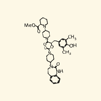 COC(=O)[C@H]1CCCCN1C1CCN(C(=O)[C@@H](Cc2cc(C)c(O)c(C)c2)OC(=O)N2CCC(N3CCc4ccccc4NC3=O)CC2)CC1